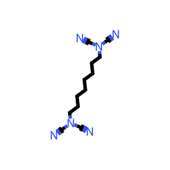 N#CN(C#N)CCCCCCCCN(C#N)C#N